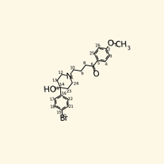 COc1ccc(C(=O)CCCN2CCC(O)(c3ccc(Br)cc3)CC2)cc1